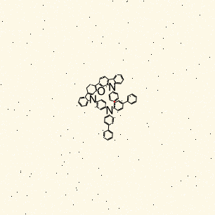 c1ccc(-c2ccc(N(c3ccc(-c4ccccc4)cc3)c3ccc(-n4c5c(c6ccccc64)CCc4c-5oc5c4ccc4c6ccccc6n(-c6ccccc6)c45)cc3)cc2)cc1